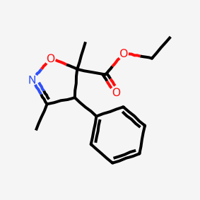 CCOC(=O)C1(C)ON=C(C)C1c1ccccc1